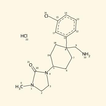 CN1CCN(C2CCC(CN)(c3cccc(Cl)c3)CC2)C1=O.Cl